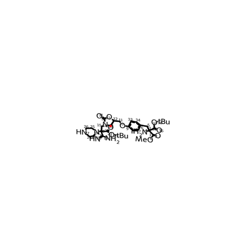 COC(=O)C(N)(Cc1ccc(OCC2CN(CC(C(=N)N)(C(=O)OC(C)(C)C)N3CCNCC3)C(=O)O2)cc1)C(=O)OC(C)(C)C